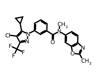 Cc1nc2ccc(N(C)C(=O)c3cccc(-n4nc(C(F)(F)F)c(Cl)c4C4CC4)c3)cc2o1